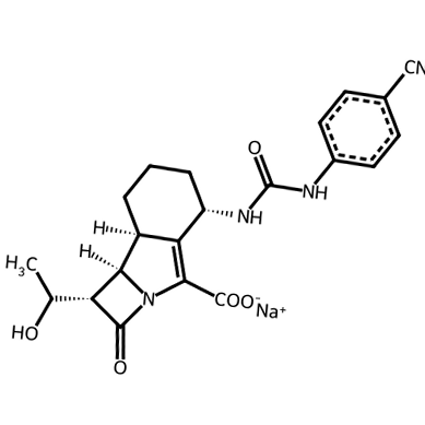 CC(O)[C@H]1C(=O)N2C(C(=O)[O-])=C3[C@@H](NC(=O)Nc4ccc(C#N)cc4)CCC[C@@H]3[C@H]12.[Na+]